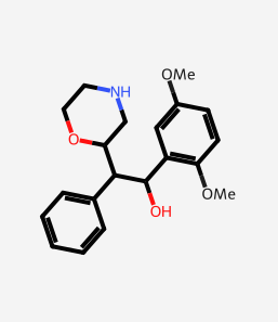 COc1ccc(OC)c(C(O)C(c2ccccc2)C2CNCCO2)c1